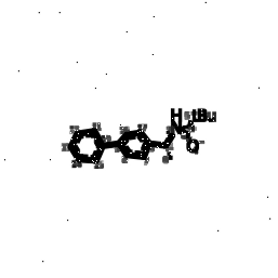 C[C@@H](N[S@+]([O-])C(C)(C)C)c1ccc(-c2ccccc2)cc1